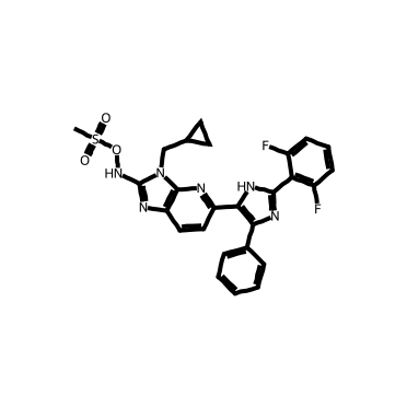 CS(=O)(=O)ONc1nc2ccc(-c3[nH]c(-c4c(F)cccc4F)nc3-c3ccccc3)nc2n1CC1CC1